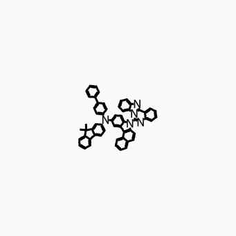 CC1(C)c2ccccc2-c2ccc(N(c3ccc(-c4ccccc4)cc3)c3ccc4c(c3)c3c5ccccc5ccc3n4-c3nc4ccccc4c4nc5ccccc5n34)cc21